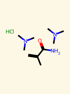 C=C(C)C(N)=O.CN(C)C.CN(C)C.Cl